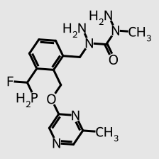 Cc1cncc(OCc2c(CN(N)C(=O)N(C)N)cccc2C(F)P)n1